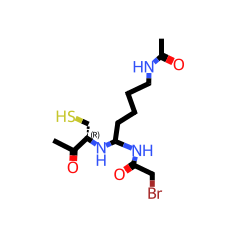 CC(=O)NCCCCC(NC(=O)CBr)N[C@@H](CS)C(C)=O